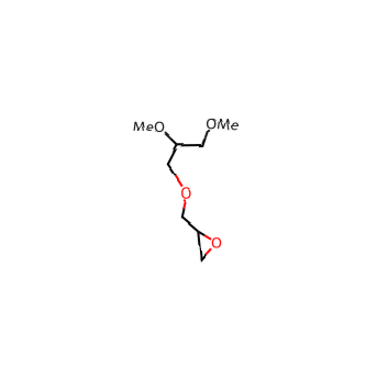 COCC(COCC1CO1)OC